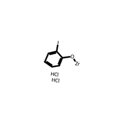 Cl.Cl.[Zr][O]c1ccccc1I